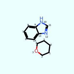 C1CCOCC1.c1ccc2[nH]cnc2c1